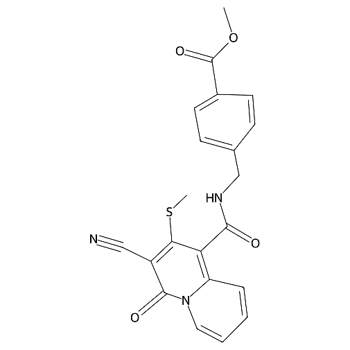 COC(=O)c1ccc(CNC(=O)c2c(SC)c(C#N)c(=O)n3ccccc23)cc1